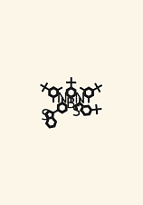 Cc1cc(C(C)(C)C)cc(C)c1N1c2cc(-c3csc4ccccc34)ccc2B2c3sc4ccc(C(C)(C)C)cc4c3N(c3c(C)cc(C(C)(C)C)cc3C)c3cc(C(C)(C)C)cc1c32